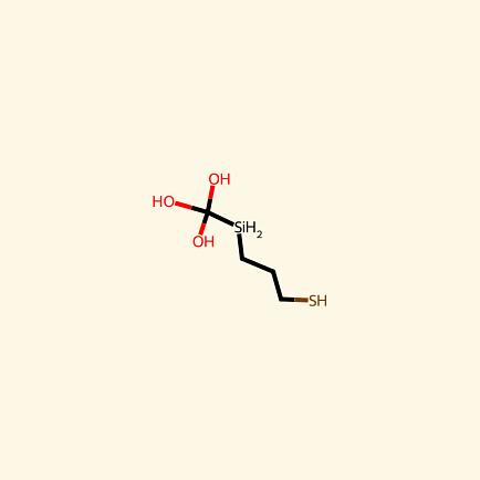 OC(O)(O)[SiH2]CCCS